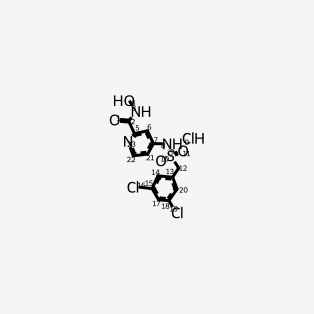 Cl.O=C(NO)c1cc(NS(=O)(=O)Cc2cc(Cl)cc(Cl)c2)ccn1